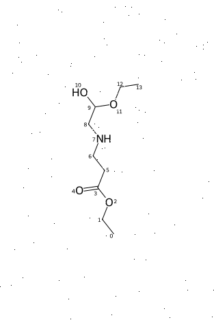 CCOC(=O)CCNCC(O)OCC